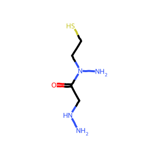 NNCC(=O)N(N)CCS